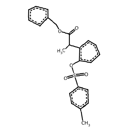 Cc1ccc(S(=O)(=O)Oc2ccccc2C(C)C(=O)OCc2ccccc2)cc1